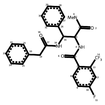 CNC(=O)C(NC(=O)c1ccc(F)cc1C(F)(F)F)C(NC(=O)Cc1ccccc1)c1ccccc1